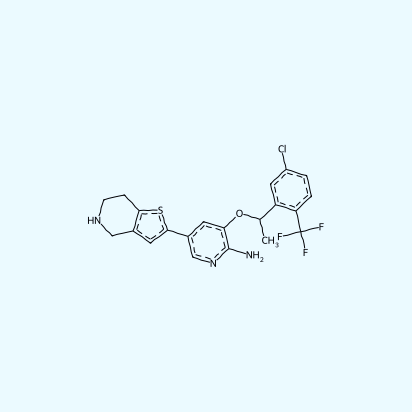 CC(Oc1cc(-c2cc3c(s2)CCNC3)cnc1N)c1cc(Cl)ccc1C(F)(F)F